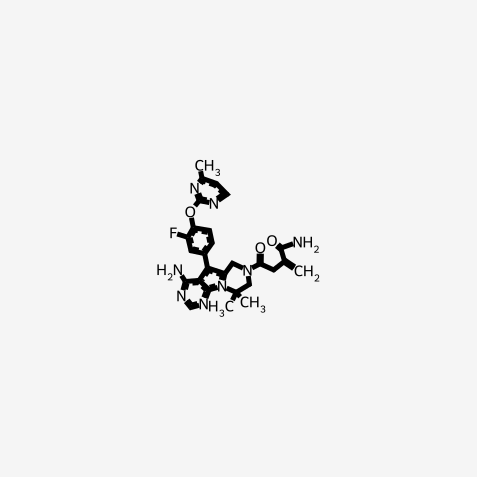 C=C(CC(=O)N1Cc2c(-c3ccc(Oc4nccc(C)n4)c(F)c3)c3c(N)ncnc3n2C(C)(C)C1)C(N)=O